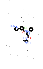 Cc1n[nH]cc1NC(=O)c1cc(NC(=O)c2cc(-c3cccc(N)n3)ccc2Cl)n(-c2ccccc2)n1